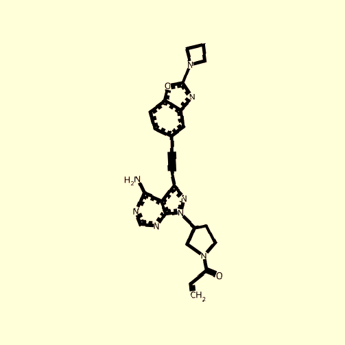 C=CC(=O)N1CCC(n2nc(C#Cc3ccc4oc(N5CCC5)nc4c3)c3c(N)ncnc32)C1